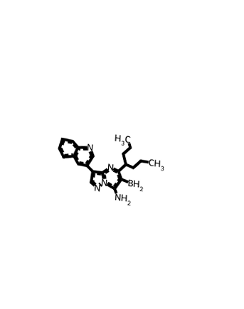 Bc1c(C(CCC)CCC)nc2c(-c3cnc4ccccc4c3)cnn2c1N